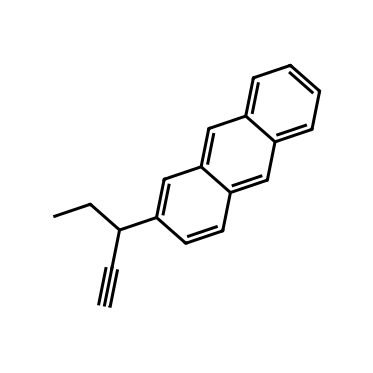 [C]#CC(CC)c1ccc2cc3ccccc3cc2c1